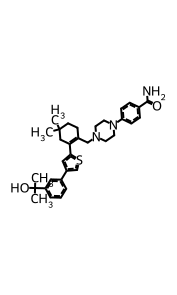 CC1(C)CCC(CN2CCN(c3ccc(C(N)=O)cc3)CC2)=C(c2cc(-c3cccc(C(C)(C)O)c3)cs2)C1